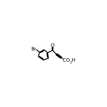 O=C(O)C#CC(=O)c1cccc(Br)c1